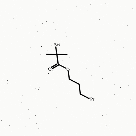 CC(C)CCCOC(=O)C(C)(C)S